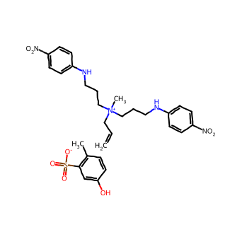 C=CC[N+](C)(CCCNc1ccc([N+](=O)[O-])cc1)CCCNc1ccc([N+](=O)[O-])cc1.Cc1ccc(O)cc1S(=O)(=O)[O-]